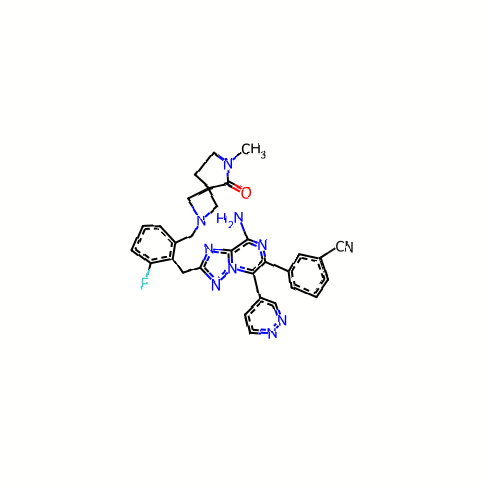 CN1CCC2(CN(Cc3cccc(F)c3Cc3nc4c(N)nc(-c5cccc(C#N)c5)c(-c5ccnnc5)n4n3)C2)C1=O